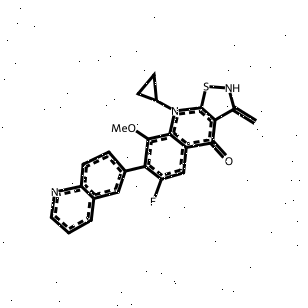 C=C1NSc2c1c(=O)c1cc(F)c(-c3ccc4ncccc4c3)c(OC)c1n2C1CC1